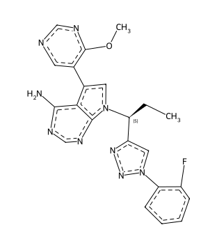 CC[C@@H](c1cn(-c2ccccc2F)nn1)n1cc(-c2cncnc2OC)c2c(N)ncnc21